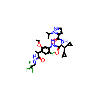 CCOc1cc(NC(=O)[C@@H](NC(=O)c2ccnn2C(C)C)C(C2CC2)C2CC2)c(F)cc1C(C)C(=O)NCC(F)(F)F